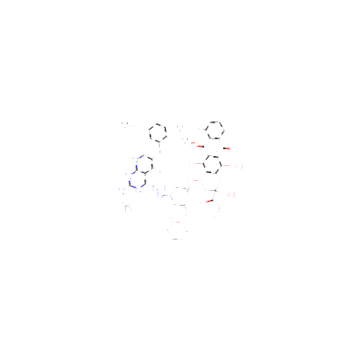 COc1ccc(OC)c(Cc2cnc3nc(N)nc(N)c3c2C)c1.COc1cccc2c1C(=O)c1c(O)c3c(c(O)c1C2=O)C[C@@](O)(C(=O)CO)CC3O[C@H]1C[C@H](N)[C@H](O[C@@H]2CCCCO2)[C@H](C)O1.Cl.[Pu]